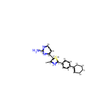 Cc1nc(-c2ccc(C3=CCCCC3)cc2)sc1-c1ccnc(N)n1